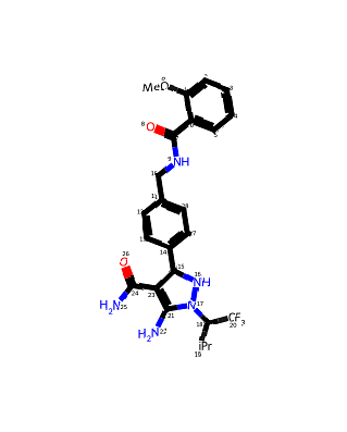 COc1ccccc1C(=O)NCc1ccc(C2NN(C(C(C)C)C(F)(F)F)C(N)=C2C(N)=O)cc1